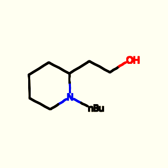 CCCCN1CCCCC1CCO